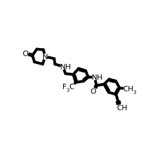 C#Cc1cc(C(=O)Nc2ccc(CNCCN3CCC(=O)CC3)c(C(F)(F)F)c2)ccc1C